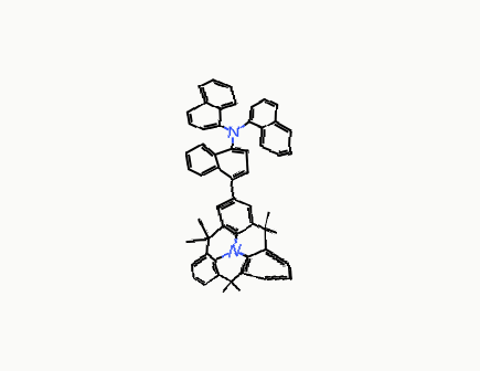 CC1(C)c2cccc3c2N2c4c1cccc4C(C)(C)c1cc(-c4ccc(N(c5cccc6ccccc56)c5cccc6ccccc56)c5ccccc45)cc(c12)C3(C)C